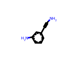 NC#Cc1cccc(N)c1